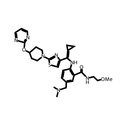 COCCNC(=O)c1cc(CN(C)C)ccc1NC(=C1CC1)c1csc(N2CCC(Oc3ncccn3)CC2)n1